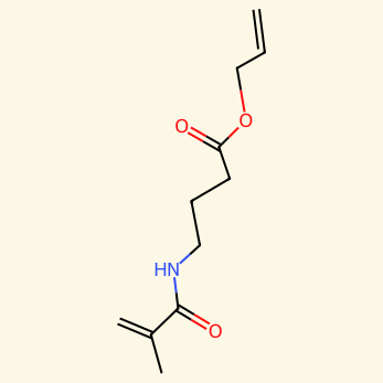 C=CCOC(=O)CCCNC(=O)C(=C)C